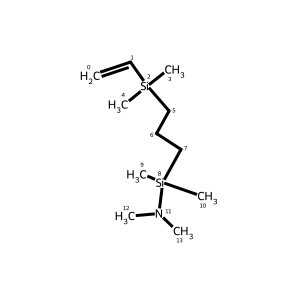 C=C[Si](C)(C)CCC[Si](C)(C)N(C)C